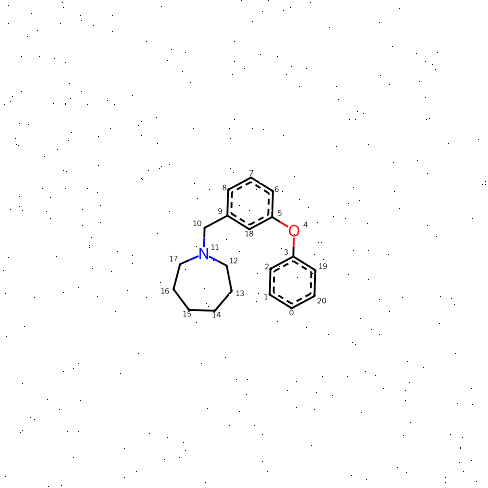 c1ccc(Oc2cccc(CN3CCCCCC3)c2)cc1